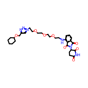 O=C1CCC(N2C(=O)c3cccc(NCCOCCOCCOCCn4cc(COC5CCCCC5)nn4)c3C2=O)C(=O)N1